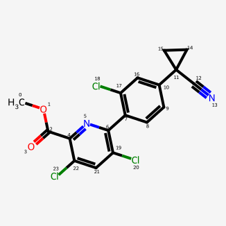 COC(=O)c1nc(-c2ccc(C3(C#N)CC3)cc2Cl)c(Cl)cc1Cl